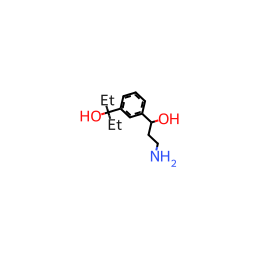 CCC(O)(CC)c1cccc(C(O)CCN)c1